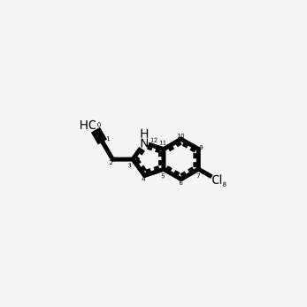 C#CCc1cc2cc(Cl)ccc2[nH]1